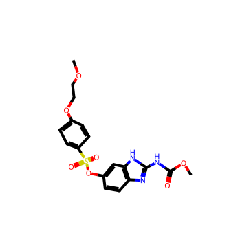 COCCOc1ccc(S(=O)(=O)Oc2ccc3nc(NC(=O)OC)[nH]c3c2)cc1